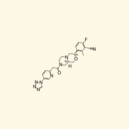 Cc1c([C@@H]2CN3CCN(C(=O)Cc4ccc(-n5cnnn5)cn4)C[C@@H]3CO2)ccc(F)c1C#N